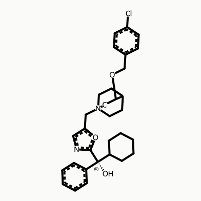 O[C@](c1ccccc1)(c1ncc(C[N+]23CCC(CC2)C(OCc2ccc(Cl)cc2)C3)o1)C1CCCCC1